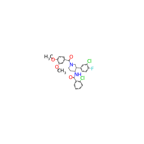 COc1ccc(C(=O)N2CCC(NC(=O)c3ccccc3Cl)C(c3ccc(F)c(Cl)c3)C2)cc1OC